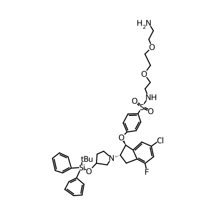 CC(C)(C)[Si](OC1CCN([C@H]2Cc3c(F)cc(Cl)cc3[C@@H]2Oc2ccc(S(=O)(=O)NCCOCCOCCN)cc2)C1)(c1ccccc1)c1ccccc1